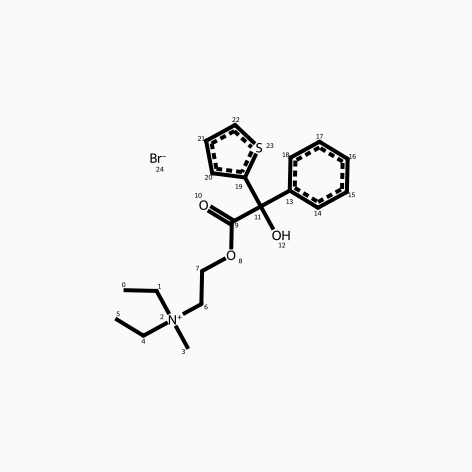 CC[N+](C)(CC)CCOC(=O)C(O)(c1ccccc1)c1cccs1.[Br-]